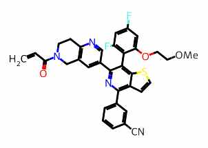 C=CC(=O)N1CCc2ncc(-c3nc(-c4cccc(C#N)c4)c4ccsc4c3-c3c(F)cc(F)cc3OCCOC)cc2C1